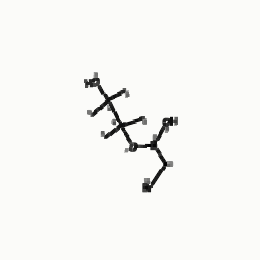 CC(C)(O)C(C)(C)OB(O)CBr